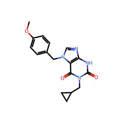 COc1ccc(Cn2cnc3[nH]c(=O)n(CC4CC4)c(=O)c32)cc1